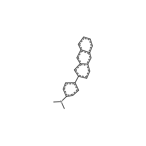 CN(C)c1ccc(-c2ccc3cc4ccccc4cc3c2)cc1